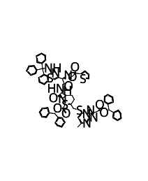 Cc1cc(SCC2=S(C(=O)OC(c3ccccc3)c3ccccc3)N3C(=O)[C@H](NC(=O)/C(=N\OC(=O)c4cccs4)c4csc(NC(c5ccccc5)(c5ccccc5)c5ccccc5)n4)[C@H]3CC2)n2nc(C(=O)OC(c3ccccc3)c3ccccc3)nc2n1